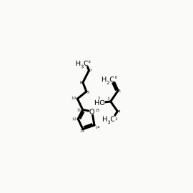 C=CC(O)CC.CCCCCc1ccco1